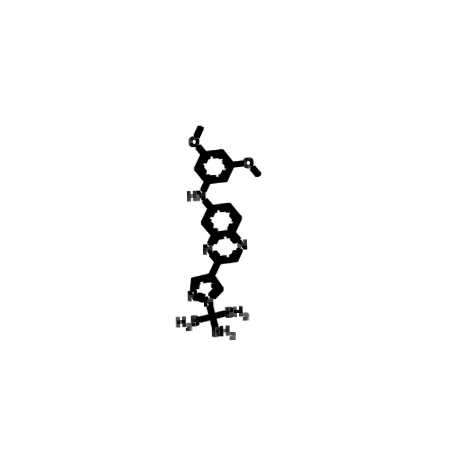 BC(B)(B)n1cc(-c2cnc3ccc(Nc4cc(OC)cc(OC)c4)cc3n2)cn1